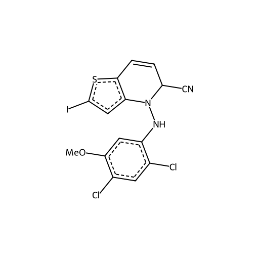 COc1cc(NN2c3cc(I)sc3C=CC2C#N)c(Cl)cc1Cl